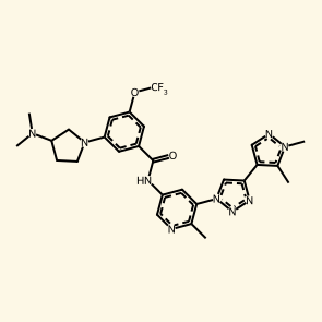 Cc1ncc(NC(=O)c2cc(OC(F)(F)F)cc(N3CCC(N(C)C)C3)c2)cc1-n1cc(-c2cnn(C)c2C)nn1